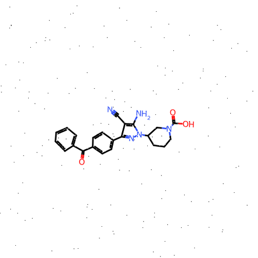 N#Cc1c(-c2ccc(C(=O)c3ccccc3)cc2)nn(C2CCCN(C(=O)O)C2)c1N